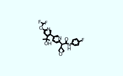 CC(C)(O)c1cc(OC(F)F)ncc1-c1ccc(C(C(=O)Nc2ccc(F)cc2)C2COC2)nc1